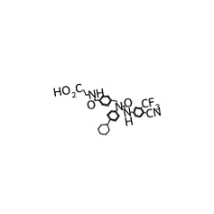 N#Cc1ccc(NC(=O)N(Cc2ccc(C(=O)NCCC(=O)O)cc2)c2ccc(C3CCCCC3)cc2)cc1C(F)(F)F